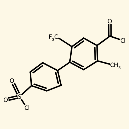 Cc1cc(-c2ccc(S(=O)(=O)Cl)cc2)c(C(F)(F)F)cc1C(=O)Cl